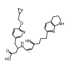 N=C(/C=C\NC(CC(=O)O)Cc1ccc(OCC2CC2)nc1)CCCc1ccc2c(n1)NCCC2